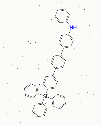 c1ccc(Nc2ccc(-c3ccc(-c4ccc([Si](c5ccccc5)(c5ccccc5)c5ccccc5)cc4)cc3)cc2)cc1